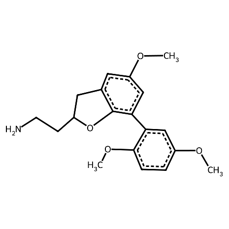 COc1ccc(OC)c(-c2cc(OC)cc3c2OC(CCN)C3)c1